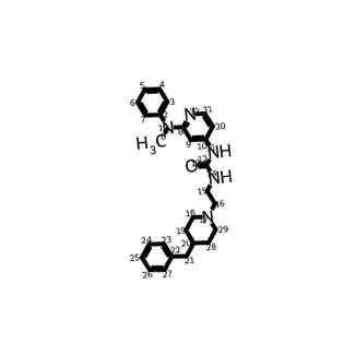 CN(c1ccccc1)c1cc(NC(=O)NCCN2CCC(Cc3ccccc3)CC2)ccn1